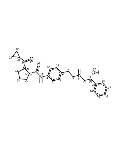 O=C(Nc1ccc(CCNC[C@H](O)c2ccccc2)cc1)[C@@H]1CCCN1C(=O)C1CC1